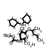 C1CCC(NC2CCCCC2)CC1.C=CCC(C)Oc1nc(C(=O)O)c(NC(=O)OC(C)(C)C)cc1C(F)(F)F